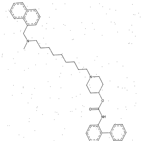 CN(CCCCCCCCCN1CCC(OC(=O)Nc2ccccc2-c2ccccc2)CC1)Cc1cccc2ccccc12